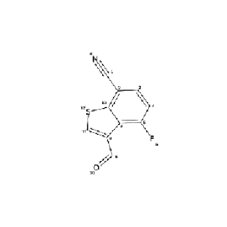 N#Cc1ccc(F)c2c(C=O)csc12